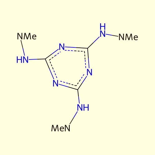 CNNc1nc(NNC)nc(NNC)n1